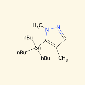 CCC[CH2][Sn]([CH2]CCC)([CH2]CCC)[c]1c(C)cnn1C